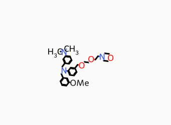 COc1cccc(CN(Cc2cccc(N(C)C)c2)c2cccc(COCCOCCN3CCOCC3)c2)c1